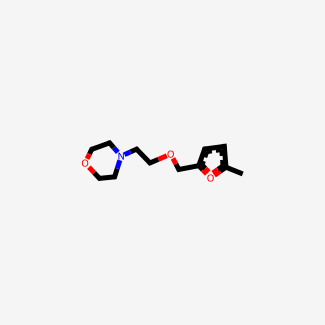 Cc1ccc(COCCN2CCOCC2)o1